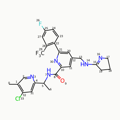 Cc1cnc(C(C)NC(=O)c2cc(CNC3=NCCC3)cc(-c3ccc(F)cc3C(F)(F)F)n2)cc1Cl